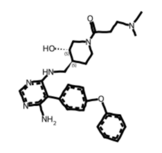 CN(C)CCC(=O)N1CC[C@@H](CNc2ncnc(N)c2-c2ccc(Oc3ccccc3)cc2)[C@H](O)C1